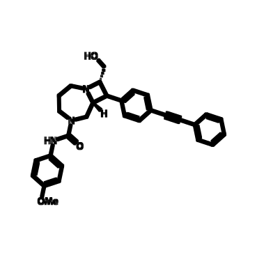 COc1ccc(NC(=O)N2CCCN3[C@H](CO)C(c4ccc(C#Cc5ccccc5)cc4)[C@@H]3C2)cc1